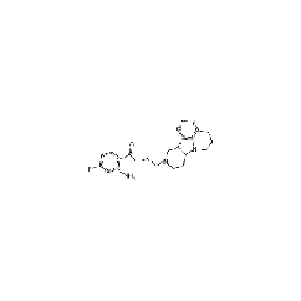 Nc1cc(F)ccc1C(=O)CCCN1CCC2C(C1)c1cccc3c1N2CCC3